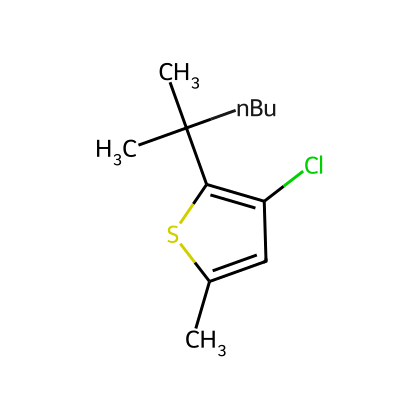 CCCCC(C)(C)c1sc(C)cc1Cl